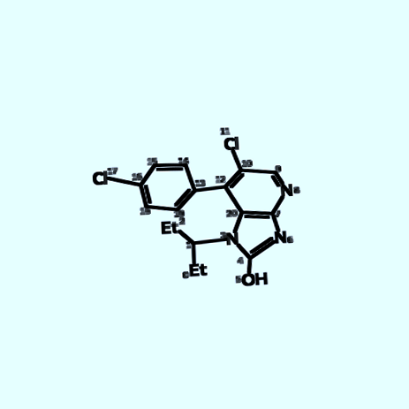 CCC(CC)n1c(O)nc2ncc(Cl)c(-c3ccc(Cl)cc3)c21